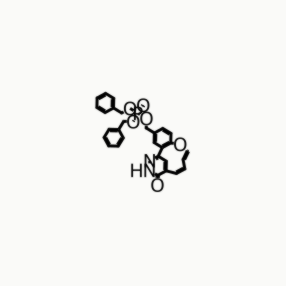 O=c1[nH]nc2cc1/C=C\C=C\Oc1ccc(COP(=O)(OCc3ccccc3)OCc3ccccc3)cc1-2